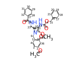 COc1ccc(CN2C(=O)[C@H](NC(=O)OCc3ccccc3)[C@@H]2CNC(=O)c2ccccc2)c(OC)c1